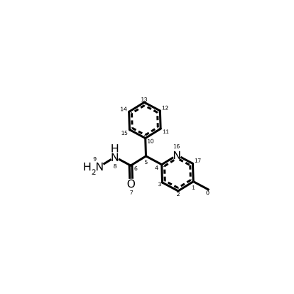 Cc1ccc(C(C(=O)NN)c2ccccc2)nc1